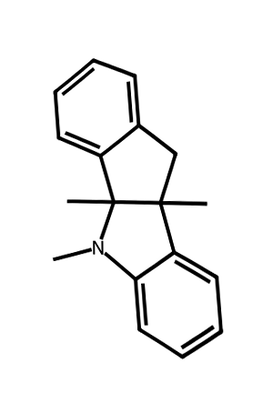 CN1c2ccccc2C2(C)Cc3ccccc3C12C